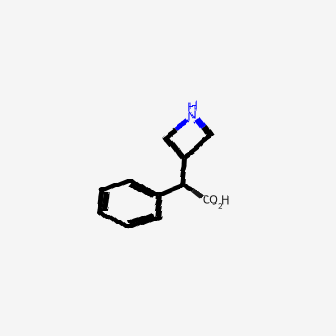 O=C(O)C(c1ccccc1)C1CNC1